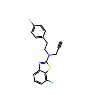 C#CCN(CCc1ccc(F)cc1)c1nc2cccc(F)c2s1